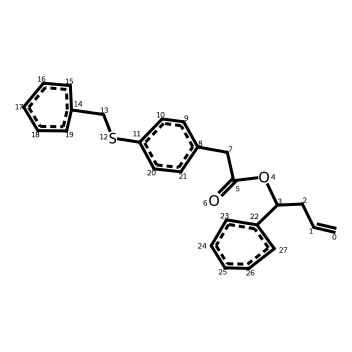 C=CCC(OC(=O)Cc1ccc(SCc2ccccc2)cc1)c1ccccc1